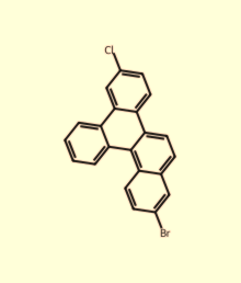 Clc1ccc2c(c1)c1ccccc1c1c3ccc(Br)cc3ccc21